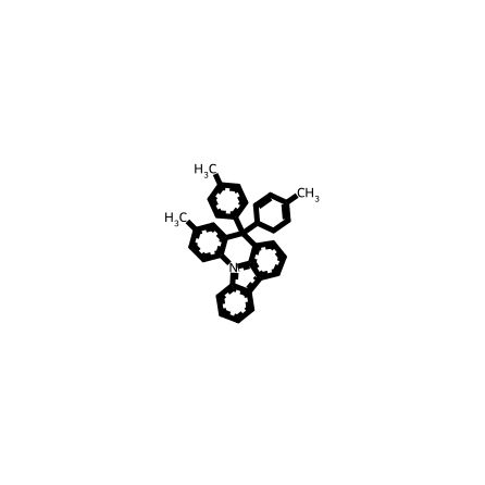 CC1=CCC(C2(c3ccc(C)cc3)c3cc(C)ccc3-n3c4ccccc4c4cccc2c43)C=C1